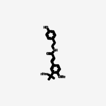 CCCCCCC(C)(C)c1cc(/C=C/C(=O)NCCc2ccc(O)cc2)ccc1OC